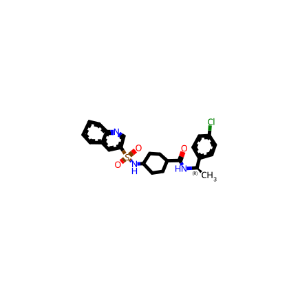 C[C@@H](NC(=O)C1CCC(NS(=O)(=O)c2cnc3ccccc3c2)CC1)c1ccc(Cl)cc1